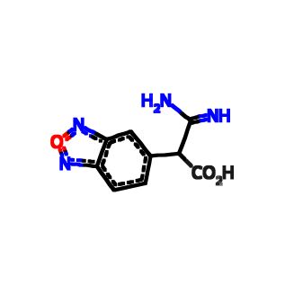 N=C(N)C(C(=O)O)c1ccc2nonc2c1